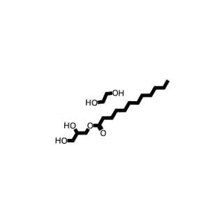 CCCCCCCCCCCC(=O)OCC(O)CO.OCCO